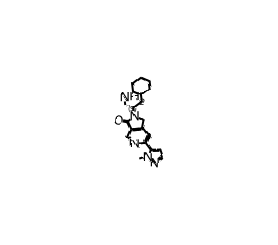 Cn1nccc1-c1cc2c(cn1)C(=O)N([C@H](CN)CC1CCCCC1)C2